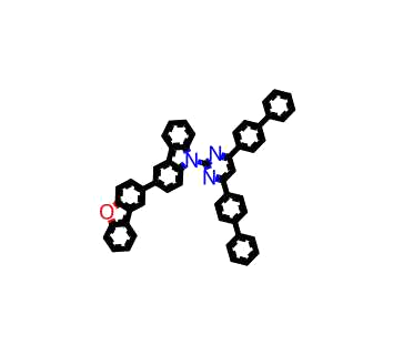 c1ccc(-c2ccc(-c3cc(-c4ccc(-c5ccccc5)cc4)nc(-n4c5ccccc5c5cc(-c6ccc7oc8ccccc8c7c6)ccc54)n3)cc2)cc1